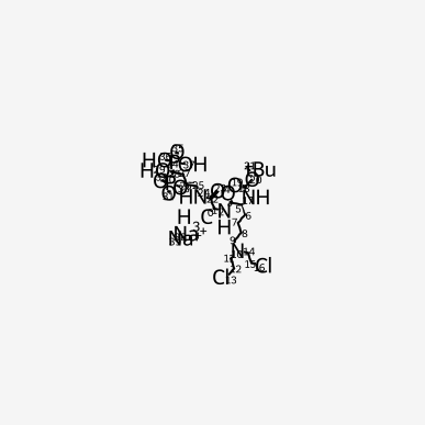 C[C@H](NC(=O)[C@H](CCCCN(CCCl)CCCl)NC(=O)OC(C)(C)C)C(=O)NCCCC(O)(P(=O)([O-])[O-])P(=O)(O)O.[Na+].[Na+]